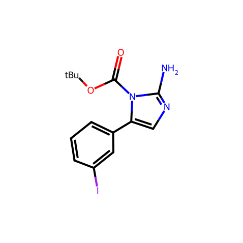 CC(C)(C)OC(=O)n1c(-c2cccc(I)c2)cnc1N